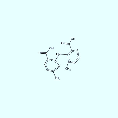 Cc1ccc(C(=O)O)c(Nc2c(C)cccc2C(=O)O)c1